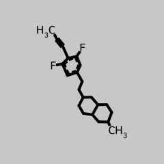 CC#Cc1c(F)cc(CCC2CCC3CC(C)CCC3C2)cc1F